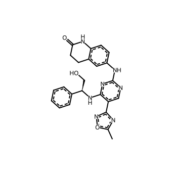 Cc1nc(-c2cnc(Nc3ccc4c(c3)CCC(=O)N4)nc2N[C@H](CO)c2ccccc2)no1